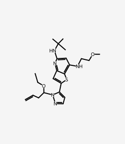 C=CCC(OCC)n1nccc1-c1cc2nc(NC(C)(C)C)cc(NCCOC)c2s1